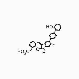 O=C(O)Cc1cccc(C=C2C(=O)Nc3cc(F)c(-c4ccc(-c5ccccc5O)cc4)cc32)c1